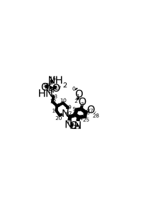 COCOc1cc2c(N3CCC(CCNS(N)(=O)=O)CC3)ncnc2cc1OC